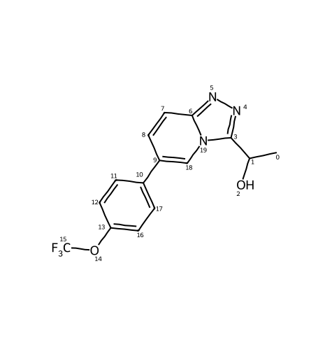 CC(O)c1nnc2ccc(-c3ccc(OC(F)(F)F)cc3)cn12